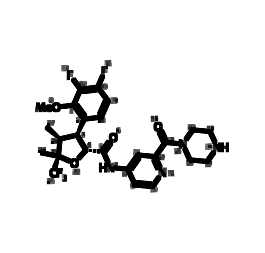 COc1c([C@H]2[C@H](C(=O)Nc3ccnc(C(=O)N4CCNCC4)c3)O[C@@](C)(C(F)(F)F)[C@H]2C)ccc(F)c1F